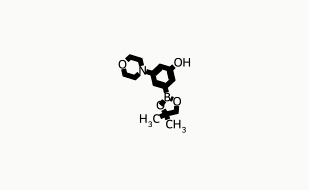 CC1(C)COB(c2cc(O)cc(N3CCOCC3)c2)O1